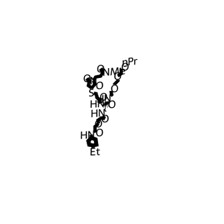 CCCOCCOCCOCCNC(=O)[C@H](CNC(=O)COCC(=O)Nc1ccc(CC)cc1)NC(=O)CCSC1CC(=O)N(CCC(=O)NC)C1=O